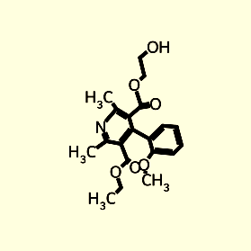 CCOC(=O)c1c(C)nc(C)c(C(=O)OCCO)c1-c1ccccc1OC